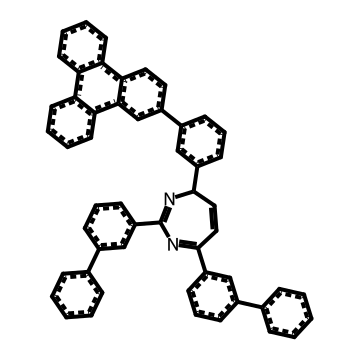 C1=CC(c2cccc(-c3ccc4c5ccccc5c5ccccc5c4c3)c2)N=C(c2cccc(-c3ccccc3)c2)N=C1c1cccc(-c2ccccc2)c1